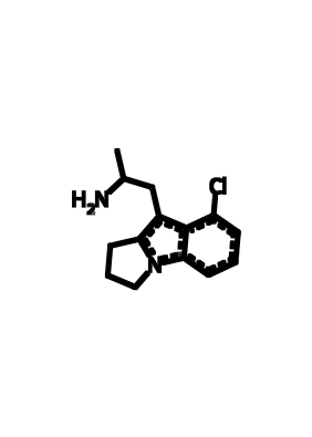 CC(N)Cc1c2n(c3cccc(Cl)c13)CCC2